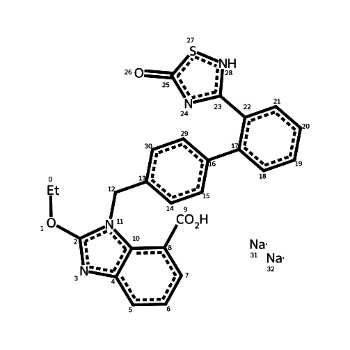 CCOc1nc2cccc(C(=O)O)c2n1Cc1ccc(-c2ccccc2-c2nc(=O)s[nH]2)cc1.[Na].[Na]